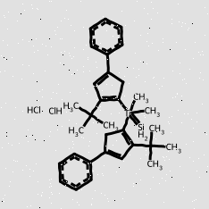 CC(C)(C)C1=[C]([Ti]([CH3])([CH3])(=[SiH2])[C]2=C(C(C)(C)C)C=C(c3ccccc3)C2)CC(c2ccccc2)=C1.Cl.Cl